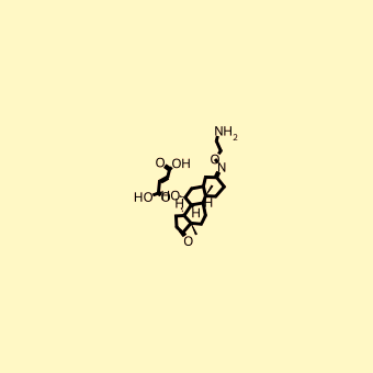 C[C@]12CC/C(=N/OCCN)CC1C[C@@H](O)[C@@H]1[C@@H]2CC[C@]2(C)C(=O)CC[C@@H]12.O=C(O)/C=C/C(=O)O